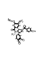 COc1nc(C(=O)N(C)[C@@H]2CN(C(=O)c3ccc(C#N)cc3)C[C@H]2c2ccc(Cl)c(Cl)c2)ccc1N